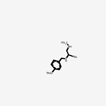 COc1ccc(CNC(CNC(=O)O)C(C)(C)C)cc1